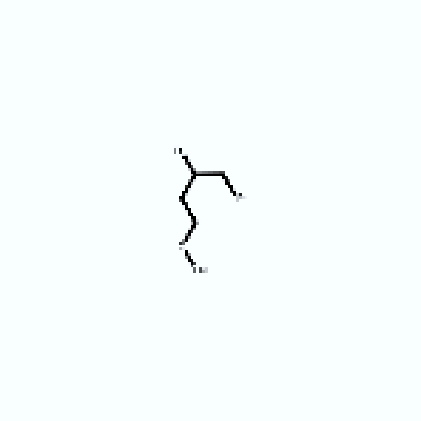 CCC(CCOC#N)CC(C)C